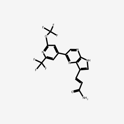 NC(=O)C=Cc1c[nH]c2ncc(-c3cc(OC(F)(F)F)nc(C(F)(F)F)c3)nc12